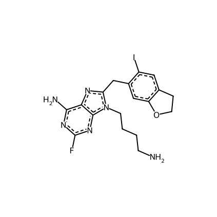 NCCCCn1c(Cc2cc3c(cc2I)CCO3)nc2c(N)nc(F)nc21